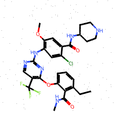 CCc1cccc(Oc2nc(Nc3cc(Cl)c(C(=O)NC4CCNCC4)cc3OC)ncc2C(F)(F)F)c1C(=O)NC